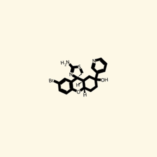 NC1=N[C@]2(CS1)c1cc(Br)ccc1O[C@H]1CCC(O)(c3cccnc3)C[C@@H]12